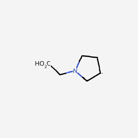 O=C(O)CN1C[CH]CC1